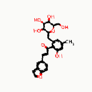 Cc1cc(O)c(C(=O)C=Cc2ccc3occc3c2)c(CC2OC(CO)C(O)C(O)C2O)c1